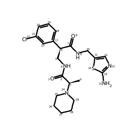 C[C@H](C(=O)NC[C@H](C(=O)NCc1cnc(N)s1)c1cccc(Cl)c1)N1CCCCC1